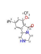 CC(C)c1cc(OC(F)(F)F)c2c(c1)C1CNCCN1C2=O